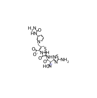 NC(=O)Nc1ccc[n+](CC2=C(C(=O)[O-])N3C(=O)[C@@H](NC(=O)/C(=N\O)c4nsc(N)n4)[C@H]3SC2)c1